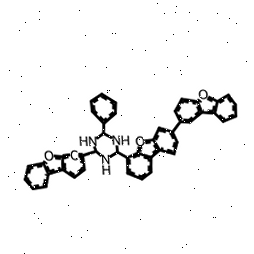 c1ccc(C2NC(c3ccc4c(c3)oc3ccccc34)NC(c3cccc4c3oc3cc(-c5ccc6oc7ccccc7c6c5)ccc34)N2)cc1